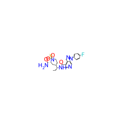 CC[C@H](NC(=O)c1cncc2c1cnn2-c1ccc(F)cc1)[C@@H]1CCN(S(C)(=O)=O)[C@@H](C(N)=O)C1